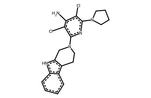 Nc1c(Cl)c(N2CCCC2)nc(N2CCc3c([nH]c4ccccc34)C2)c1Cl